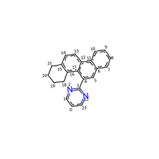 c1cnc(-c2cc3ccccc3c3ccc4c(c23)CCCC4)nc1